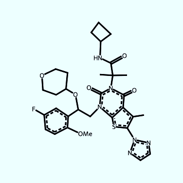 COc1ccc(F)cc1C(Cn1c(=O)n(C(C)(C)C(=O)NC2CCC2)c(=O)c2c(C)c(-n3nccn3)sc21)OC1CCOCC1